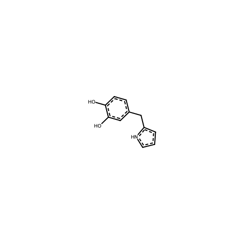 Oc1ccc(Cc2ccc[nH]2)cc1O